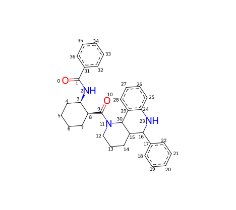 O=C(N[C@@H]1CCCC[C@@H]1C(=O)N1CCCC2C(c3ccccc3)Nc3ccccc3C21)c1ccccc1